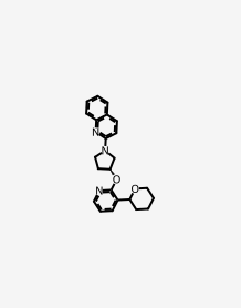 c1cnc(O[C@H]2CCN(c3ccc4ccccc4n3)C2)c(C2CCCCO2)c1